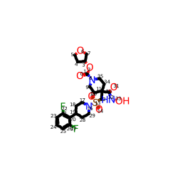 O=C(OC1CCOC1)N1CCC(CS(=O)(=O)N2CCC(c3c(F)cccc3F)CC2)(C(=O)NO)CC1